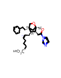 O=C(O)CCC/C=C\C[C@@H]1[C@H](CC(=O)n2ccnc2)[C@H]2C[C@]1(CCc1ccccc1)CO2